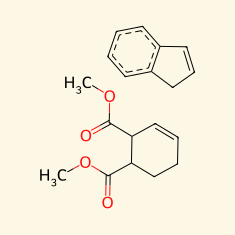 C1=Cc2ccccc2C1.COC(=O)C1C=CCCC1C(=O)OC